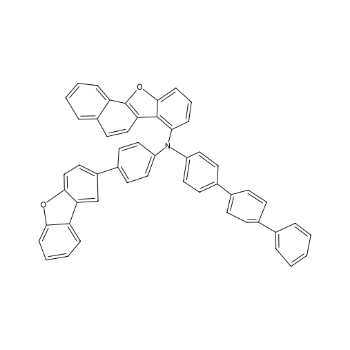 c1ccc(-c2ccc(-c3ccc(N(c4ccc(-c5ccc6oc7ccccc7c6c5)cc4)c4cccc5oc6c7ccccc7ccc6c45)cc3)cc2)cc1